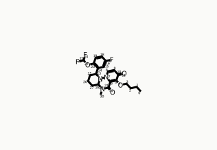 CCCCOc1c2n(ccc1=O)N1C(c3cc(F)ccc3OC(F)F)CCCC1N(C)C2=O